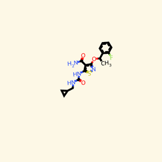 CC(Oc1nsc(NC(=O)NCC2CC2)c1C(N)=O)c1ccccc1F